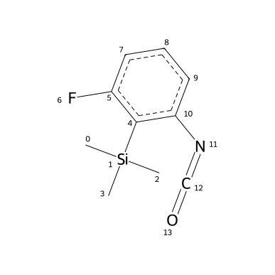 C[Si](C)(C)c1c(F)cccc1N=C=O